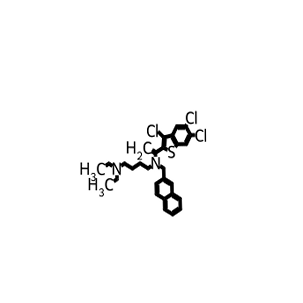 C=C(c1sc2cc(Cl)c(Cl)cc2c1Cl)N(CCCCN(CC)CC)Cc1ccc2ccccc2c1